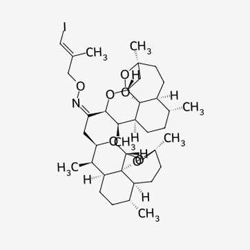 C/C(=C\I)CO/N=C(/C[C@H]1O[C@@H]2C[C@]3(C)CC[C@H]4[C@H](C)CC[C@@H]([C@H]1C)[C@@]24OO3)[C@H]1O[C@@H]2C[C@]3(C)CC[C@H]4[C@H](C)CC[C@@H]([C@H]1C)[C@@]24OO3